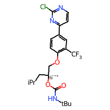 CC(C)C[C@@](C)(COc1ccc(-c2ccnc(Cl)n2)cc1C(F)(F)F)OC(=O)NC(C)(C)C